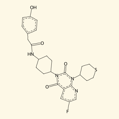 O=C(Cc1ccc(O)cc1)NC1CCC(n2c(=O)c3cc(F)cnc3n(C3CCSCC3)c2=O)CC1